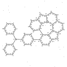 c1ccc(N(c2ccccc2)c2ccc(-c3ccc4oc5ccc6ccc7oc8cccc9c8c7c6c5c4c3-9)cc2)cc1